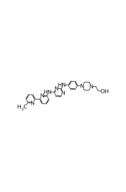 Cc1cccc(-c2cccc(Nc3ccnc(Nc4ccc(N5CCN(CCO)CC5)cc4)n3)n2)n1